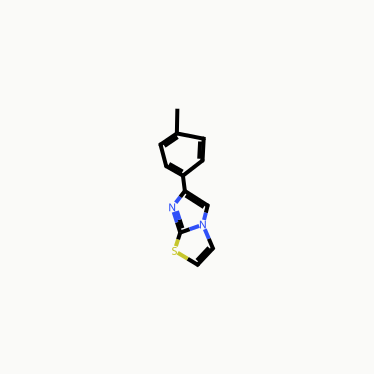 Cc1ccc(-c2cn3ccsc3n2)cc1